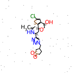 C[C@H]1C[C@@]2(C[C@@H](c3cn(CC4CCS(=O)(=O)C4)nn3)N1)OC[C@@H](O)c1cc(Cl)sc12